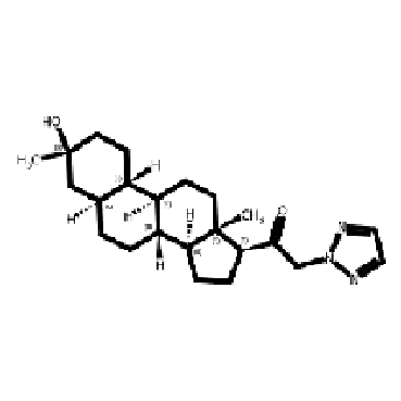 C[C@@]1(O)CC[C@H]2[C@@H](CC[C@@H]3[C@@H]2CC[C@]2(C)[C@@H](C(=O)Cn4nccn4)CC[C@@H]32)C1